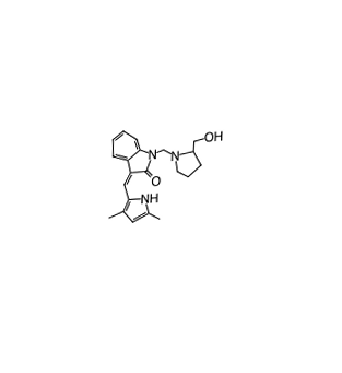 Cc1cc(C)c(/C=C2\C(=O)N(CN3CCCC3CO)c3ccccc32)[nH]1